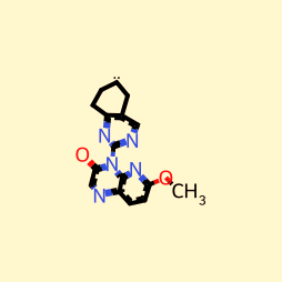 COc1ccc2ncc(=O)n(-c3ncc4c(n3)CC[C]C4)c2n1